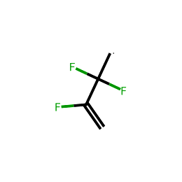 [CH2]C(F)(F)C(=C)F